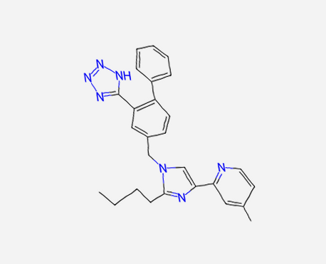 CCCCc1nc(-c2cc(C)ccn2)cn1Cc1ccc(-c2ccccc2)c(-c2nnn[nH]2)c1